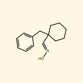 ON=CC1(Cc2ccccc2)CCCCC1